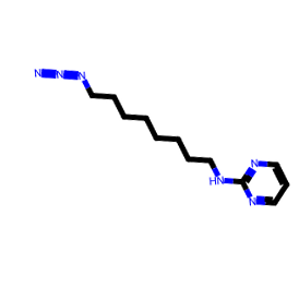 [N-]=[N+]=NCCCCCCCCNc1ncccn1